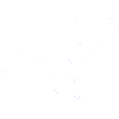 Nc1ncc(Oc2ccc(Cl)cc2)c(N2CCN(C(=O)c3ccccc3)CC2)n1